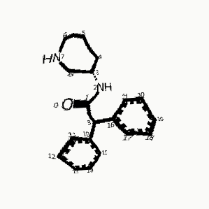 O=C(N[C@H]1CCCNC1)C(c1ccccc1)c1ccccc1